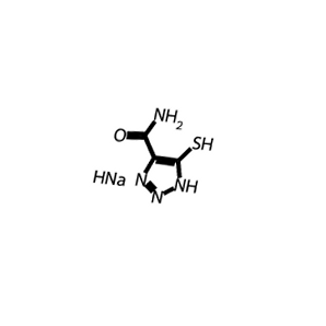 NC(=O)c1nn[nH]c1S.[NaH]